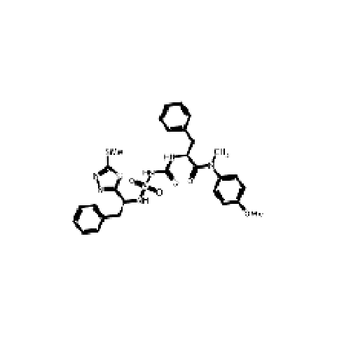 COc1ccc(N(C)C(=O)C(Cc2ccccc2)NC(=O)NS(=O)(=O)N[C@@H](Cc2ccccc2)c2nnc(SC)o2)cc1